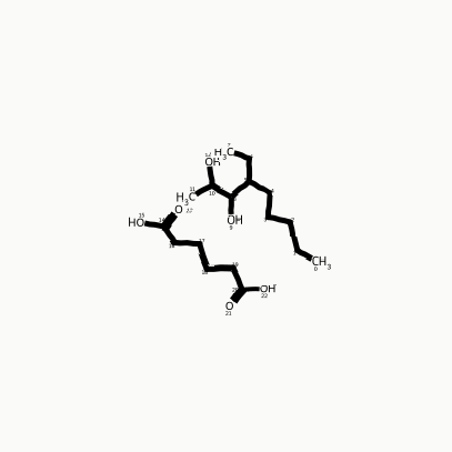 CCCCCC(CC)C(O)C(C)O.O=C(O)CCCCC(=O)O